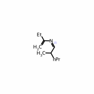 C=C(CC)/N=C\C(C)CCC